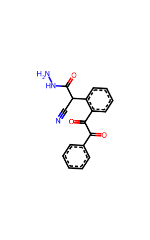 N#CC(C(=O)NN)c1ccccc1C(=O)C(=O)c1ccccc1